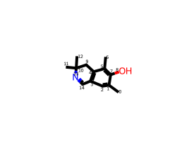 Cc1cc2c(c(C)c1O)CC(C)(C)N=C2